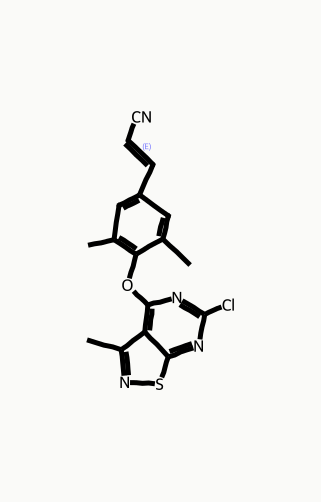 Cc1cc(/C=C/C#N)cc(C)c1Oc1nc(Cl)nc2snc(C)c12